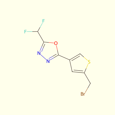 FC(F)c1nnc(-c2csc(CBr)c2)o1